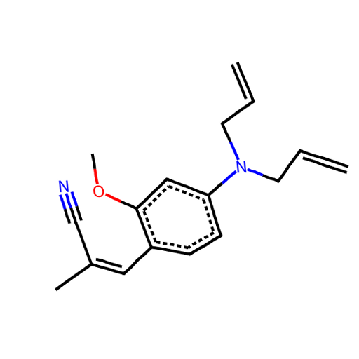 C=CCN(CC=C)c1ccc(/C=C(/C)C#N)c(OC)c1